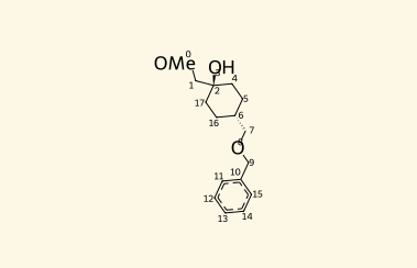 COC[C@]1(O)CC[C@H](COCc2ccccc2)CC1